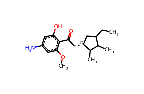 CCC1C[C@@H](CC(=O)c2c(O)cc(N)cc2OC)C(C)C1C